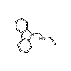 S=[C]NCn1c2ccccc2c2ccccc21